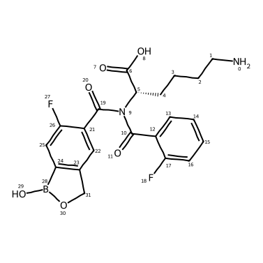 NCCCC[C@@H](C(=O)O)N(C(=O)c1ccccc1F)C(=O)c1cc2c(cc1F)B(O)OC2